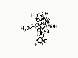 CCCCOc1c2n(cc(C(=O)NCc3ccc(F)cc3F)c1=O)[C@@]1(C[C@@H]1CO)CN(C(C)C)C2=O